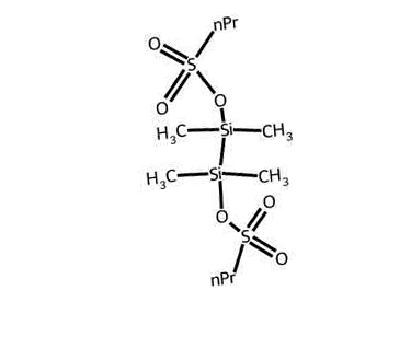 CCCS(=O)(=O)O[Si](C)(C)[Si](C)(C)OS(=O)(=O)CCC